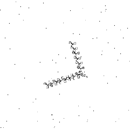 CC(=O)CC(Cl)(Cl)Cl.ClC(Cl)Cl.ClC(Cl)Cl.ClC(Cl)Cl.ClC(Cl)Cl.ClC(Cl)Cl.ClC(Cl)Cl.ClC(Cl)Cl.ClC(Cl)Cl.ClC(Cl)Cl.ClC(Cl)Cl.ClC(Cl)Cl.ClC(Cl)Cl.ClC(Cl)Cl.ClC(Cl)Cl